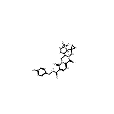 O=C(NCc1ccc(Cl)cc1)c1ccc2n(c1=O)CCN(CC1(N3CCCS3(=O)=O)CC1)C2=O